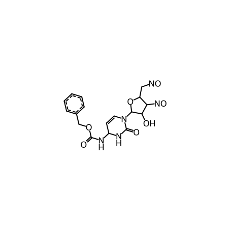 O=NCC1OC(N2C=CC(NC(=O)OCc3ccccc3)NC2=O)C(O)C1N=O